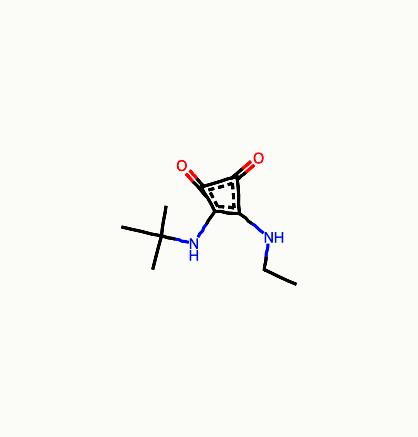 CCNc1c(NC(C)(C)C)c(=O)c1=O